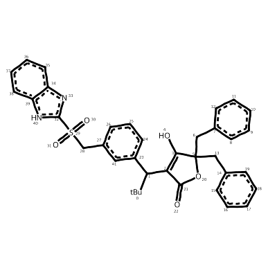 CC(C)(C)C(C1=C(O)C(Cc2ccccc2)(Cc2ccccc2)OC1=O)c1cccc(CS(=O)(=O)c2nc3ccccc3[nH]2)c1